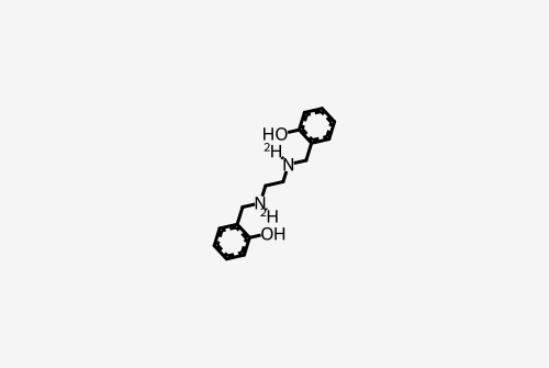 [2H]N(CCN([2H])Cc1ccccc1O)Cc1ccccc1O